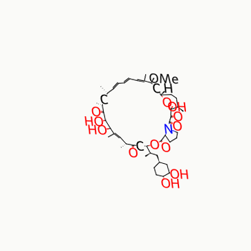 CO[C@H]1C[C@@H]2CC[C@@H](C)[C@@](O)(O2)C(=O)C(=O)N2CCCC2C(=O)O[C@H]([C@H](C)C[C@@H]2CC[C@@H](O)[C@H](O)C2)CC(=O)[C@H](C)/C=C(\C)[C@@H](O)[C@@H](O)C(=O)[C@H](C)C[C@H](C)/C=C/C=C/C=C/1C